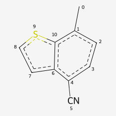 Cc1ccc(C#N)c2ccsc12